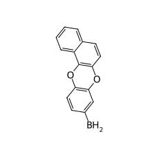 Bc1ccc2c(c1)Oc1ccc3ccccc3c1O2